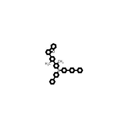 Cc1cc(-c2cccc3c2oc2ccccc23)ccc1-c1ccc(N(c2ccc(-c3ccccc3)cc2)c2ccc(-c3ccc(-c4ccccc4)cc3)cc2)cc1C